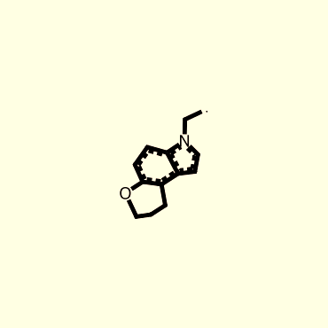 [CH2]Cn1ccc2c3c(ccc21)OCCC3